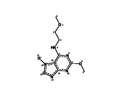 COCCNc1nc(OC)nc2no[n+]([O-])c12